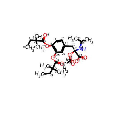 CCC(C)(C)C(=O)Oc1ccc(C[C@](NC(C)C)(OC(C)=O)C(=O)O)cc1OC(=O)C(C)(C)CC